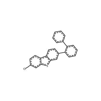 Clc1ccc2c(c1)sc1cc(-c3ccccc3-c3ccccc3)ccc12